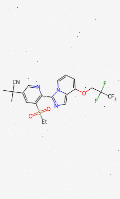 CCS(=O)(=O)c1cc(C(C)(C)C#N)cnc1-c1ncc2c(OCC(F)(F)C(F)(F)F)cccn12